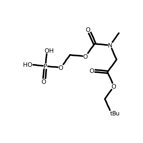 CN(CC(=O)OCC(C)(C)C)C(=O)OCOP(=O)(O)O